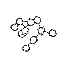 c1ccc(-c2ccc(-c3nc(-c4ccccc4)nc(-c4cccc5cc6c(cc45)C4(c5c-6ccc6ccccc56)C5CC6CC(C5)CC4C6)n3)cc2)cc1